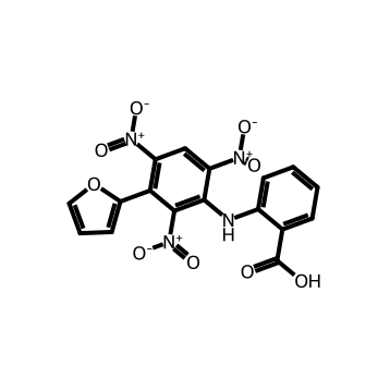 O=C(O)c1ccccc1Nc1c([N+](=O)[O-])cc([N+](=O)[O-])c(-c2ccco2)c1[N+](=O)[O-]